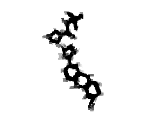 CC(C)(C)OC(=O)N1CSC[C@H]1c1cnc(-c2ccc3c(c2)Cc2ccc(Br)cc2O3)[nH]1